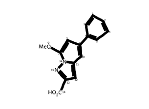 COc1cc(-c2ccccc2)cc2cc(C(=O)O)nn12